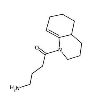 NCCCC(=O)N1CCCC2CCCC=C21